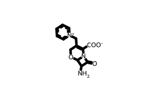 NC1C(=O)N2C(C(=O)[O-])=C(C[n+]3ccccc3)COC12